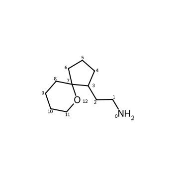 NCCC1CCCC12CCCCO2